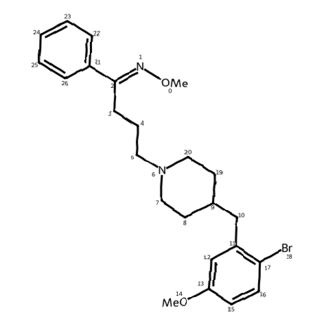 CON=C(CCCN1CCC(Cc2cc(OC)ccc2Br)CC1)c1ccccc1